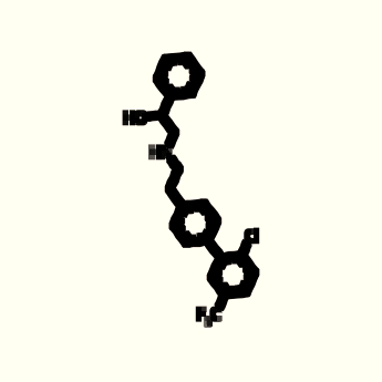 OC(CNCCc1ccc(-c2cc(C(F)(F)F)ccc2Cl)cc1)c1ccccc1